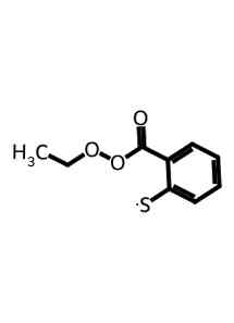 CCOOC(=O)c1ccccc1[S]